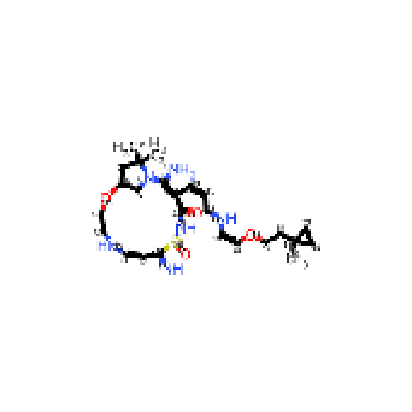 CC1(C)CC2CN1/C(N)=C(/C=C\CN/C=C\OCCC1(C(F)(F)F)CC1)C(=O)N[S+]([O-])C(=N)/C=C\NCCO2